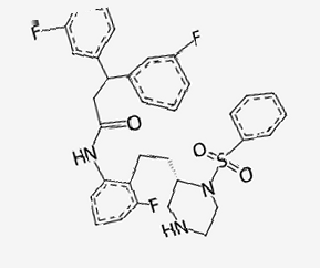 O=C(CC(c1cccc(F)c1)c1cccc(F)c1)Nc1cccc(F)c1CC[C@H]1CNCCN1S(=O)(=O)c1ccccc1